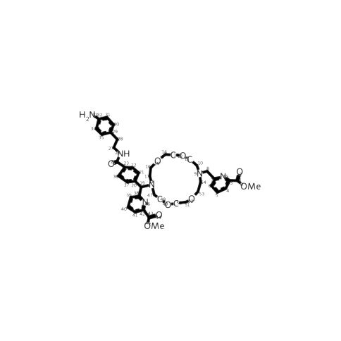 COC(=O)c1cccc(CN2CCOCCOCCN(C(c3ccc(C(=O)NCCc4ccc(N)cc4)cc3)c3cccc(C(=O)OC)n3)CCOCCOCC2)n1